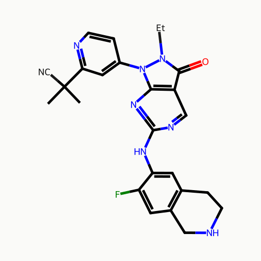 CCn1c(=O)c2cnc(Nc3cc4c(cc3F)CNCC4)nc2n1-c1ccnc(C(C)(C)C#N)c1